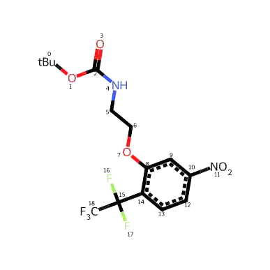 CC(C)(C)OC(=O)NCCOc1cc([N+](=O)[O-])ccc1C(F)(F)C(F)(F)F